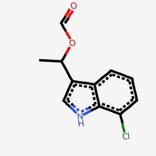 CC(OC=O)c1c[nH]c2c(Cl)cccc12